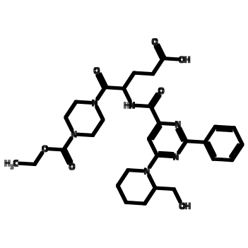 CCOC(=O)N1CCN(C(=O)C(CCC(=O)O)NC(=O)c2cc(N3CCCCC3CO)nc(-c3ccccc3)n2)CC1